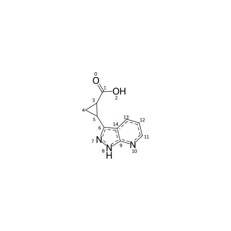 O=C(O)C1CC1c1n[nH]c2ncccc12